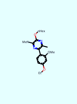 CCCCCCOc1nc(C)c(-c2ccc(OCC)cc2OC)nc1NC